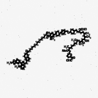 COC(CC1CCCC(C(=O)C=O)O1)/C(C)=C/C=C/C=C/C(C)CC(C)C(=O)CC(O)/C(C)=C/C(C)CCC(CCC1CCC(OCc2cnc(N3CCN(c4ncc(C(=O)N(C)CCOCCOCCOCCOCCC(=O)N5CCc6cc(Cn7nc(-c8ccc9oc(N)nc9c8)c8c(N)ncnc87)ccc6C5)c(N)n4)CC3)nc2)CC1)OC=O